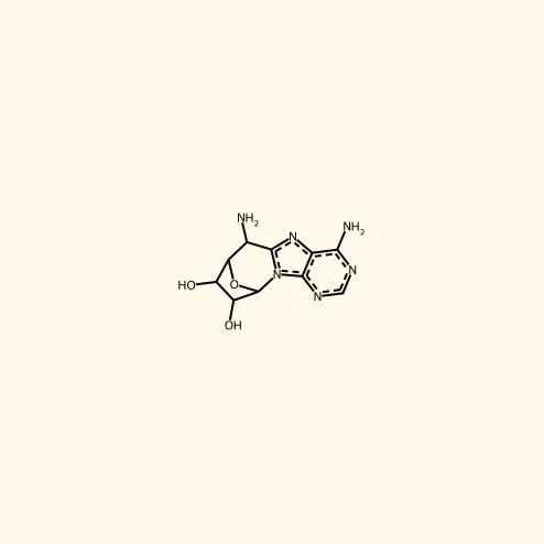 Nc1ncnc2c1nc1n2C2OC(C1N)C(O)C2O